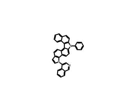 c1ccc(-n2c3ccc4ccccc4c3c3c4ccc5ccn(-c6cncc7ccccc67)c5c4ccc32)cc1